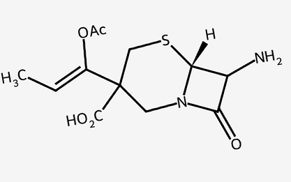 CC=C(OC(C)=O)C1(C(=O)O)CS[C@@H]2C(N)C(=O)N2C1